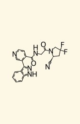 N#C[C@@H]1CC(F)(F)CN1C(=O)CNC(=O)c1ccncc1-c1n[nH]c2ccccc12